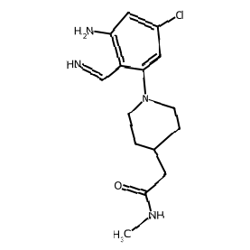 CNC(=O)CC1CCN(c2cc(Cl)cc(N)c2C=N)CC1